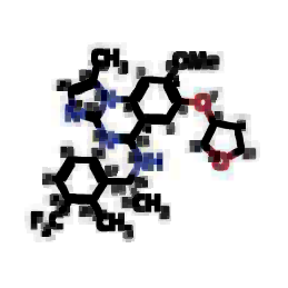 COc1cc2c(cc1OC1CCOC1)c(N[C@H](C)c1cccc(C(F)(F)F)c1C)nc1ncc(C)n12